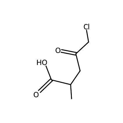 CC(CC(=O)CCl)C(=O)O